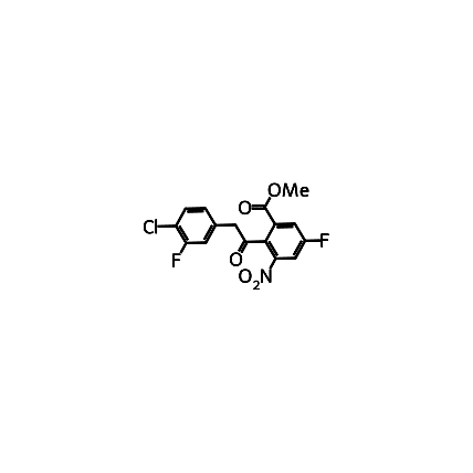 COC(=O)c1cc(F)cc([N+](=O)[O-])c1C(=O)Cc1ccc(Cl)c(F)c1